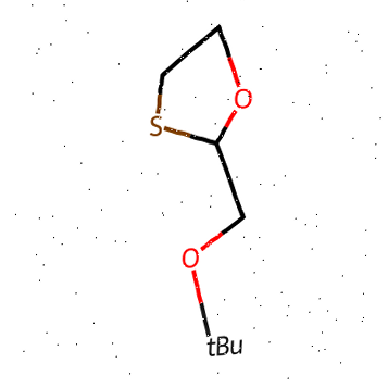 CC(C)(C)OCC1OCCS1